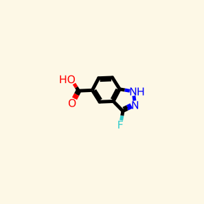 O=C(O)c1ccc2[nH]nc(F)c2c1